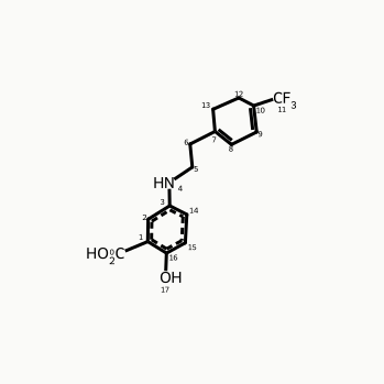 O=C(O)c1cc(NCCC2=CC=C(C(F)(F)F)CC2)ccc1O